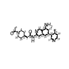 CC(=O)N1CCC(=CC(=O)Nc2cc3cc(-c4cnccc4C)cc(N)c3cn2)CC1